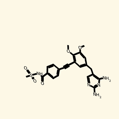 COc1cc(Cc2cnc(N)nc2N)cc(C#Cc2ccc(C(=O)NS(C)(=O)=O)cc2)c1OC